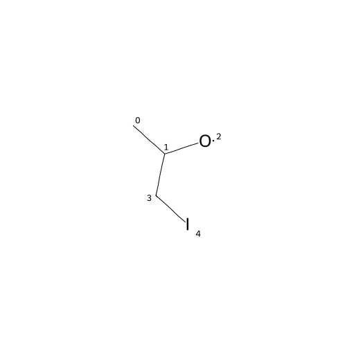 CC([O])CI